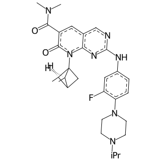 CC(C)N1CCN(c2ccc(Nc3ncc4cc(C(=O)N(C)C)c(=O)n(C56CC([C@H]5C)[C@H]6C)c4n3)cc2F)CC1